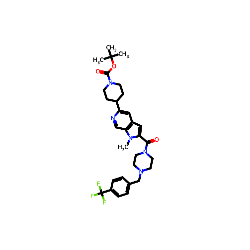 Cn1c(C(=O)N2CCN(Cc3ccc(C(F)(F)F)cc3)CC2)cc2cc(C3CCN(C(=O)OC(C)(C)C)CC3)ncc21